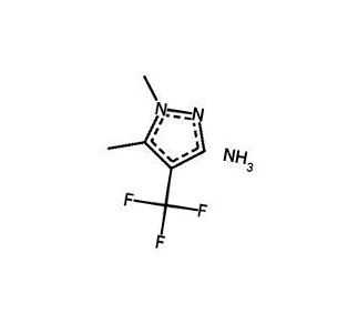 Cc1c(C(F)(F)F)cnn1C.N